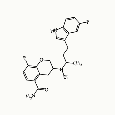 CCN(C(C)CCc1c[nH]c2ccc(F)cc12)C1COc2c(F)ccc(C(N)=O)c2C1